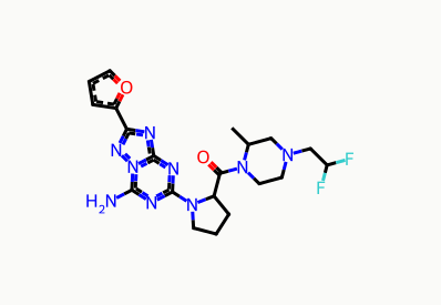 CC1CN(CC(F)F)CCN1C(=O)C1CCCN1c1nc(N)n2nc(-c3ccco3)nc2n1